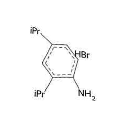 Br.CC(C)c1ccc(N)c(C(C)C)c1